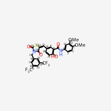 COc1ccc(NC(=O)c2cc(/C=C3/SC(=O)N(Cc4cc(C(F)(F)F)cc(C(F)(F)F)c4)C3=O)ccc2O)cc1OC